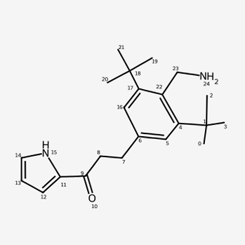 CC(C)(C)c1cc(CCC(=O)c2ccc[nH]2)cc(C(C)(C)C)c1CN